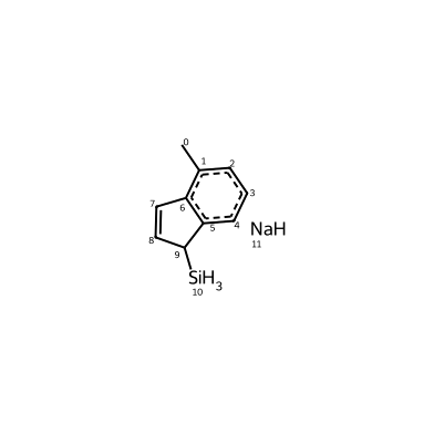 Cc1cccc2c1C=CC2[SiH3].[NaH]